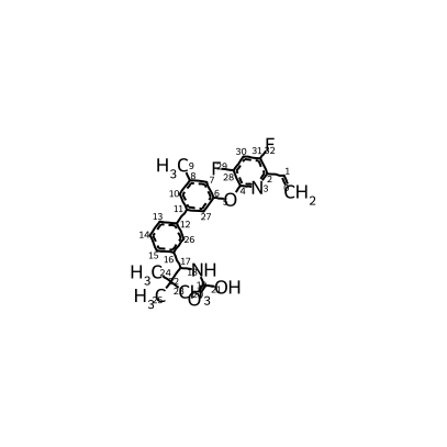 C=Cc1nc(Oc2cc(C)cc(-c3cccc(C(NC(=O)O)C(C)(C)C)c3)c2)c(F)cc1F